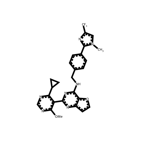 COc1ncnc(C2CC2)c1-c1nc(NCc2ccc(-c3nc(C(F)(F)F)cn3C)cc2)c2occc2n1